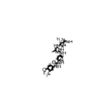 Cc1cc(Nc2cc(C(=N)N)n[nH]2)nc(Nc2ccc(NC(=O)Nc3ccc(Cl)c(C(F)(F)F)c3)nc2)n1